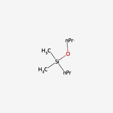 CC[CH]O[Si](C)(C)CCC